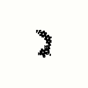 C[C@@H](COCc1cc2n(n1)CCN(c1ncc(C(F)(F)F)cn1)C2)Nc1cn[nH]c(=O)c1C(F)(F)F